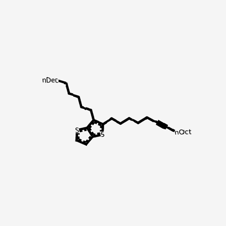 CCCCCCCCC#CCCCCCc1sc2ccsc2c1CCCCCCCCCCCCCCC